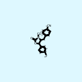 N#Cc1ccc(CC2C(c3ccc(F)cc3)OC(=O)N2C(=O)O)cc1